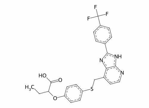 CCC(Oc1ccc(SCc2ccnc3[nH]c(-c4ccc(C(F)(F)F)cc4)nc23)cc1)C(=O)O